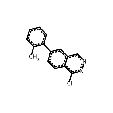 Cc1ccccc1-c1ccc2c(Cl)nncc2c1